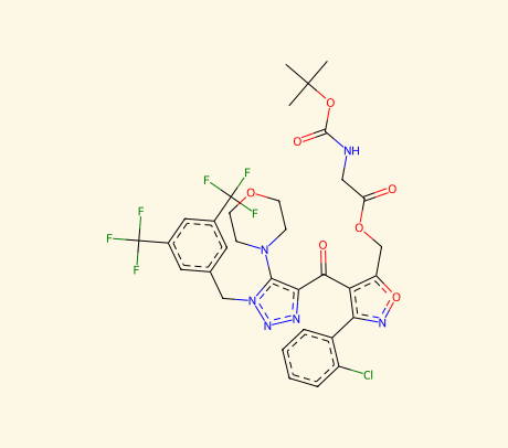 CC(C)(C)OC(=O)NCC(=O)OCc1onc(-c2ccccc2Cl)c1C(=O)c1nnn(Cc2cc(C(F)(F)F)cc(C(F)(F)F)c2)c1N1CCOCC1